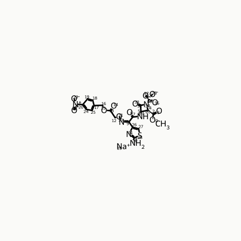 COC(=O)[C@H]1[C@@H](NC(=O)C(=NOCC(=O)OCc2ccc([N+](=O)[O-])cc2)c2csc(N)n2)C(=O)N1S(=O)(=O)[O-].[Na+]